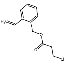 C=Cc1ccccc1COC(=O)CCCl